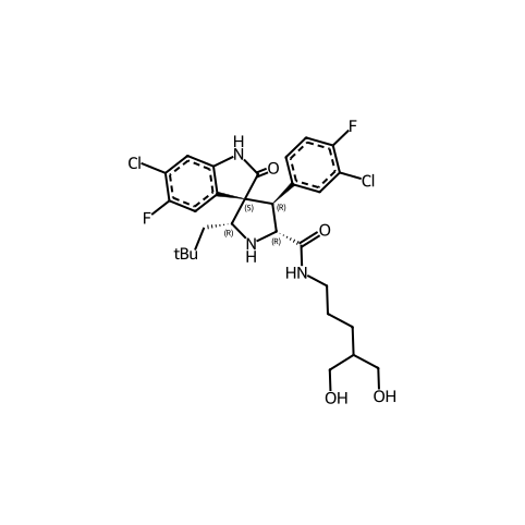 CC(C)(C)C[C@H]1N[C@@H](C(=O)NCCCC(CO)CO)[C@H](c2ccc(F)c(Cl)c2)[C@@]12C(=O)Nc1cc(Cl)c(F)cc12